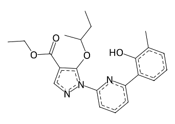 CCOC(=O)c1cnn(-c2cccc(-c3cccc(C)c3O)n2)c1OC(C)CC